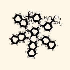 CC(C)(C)c1cccc(N(c2cccc(C(C)(C)C)c2)c2cc3c4c(c2)N(c2ccc5ccccc5c2)c2cc5ccccc5cc2B4c2cc4ccccc4cc2N3c2ccc3ccccc3c2)c1